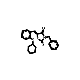 O=C1C(=Cc2ccccc2SC2CCCCC2)SC(=S)N1Cc1ccccc1